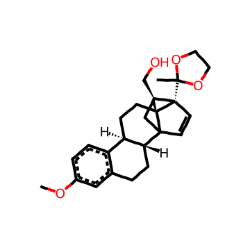 COc1ccc2c(c1)CC[C@@H]1[C@@H]2CC[C@@]2(C)C13C=C[C@]2(C1(C)OCCO1)[C@H](CO)C3